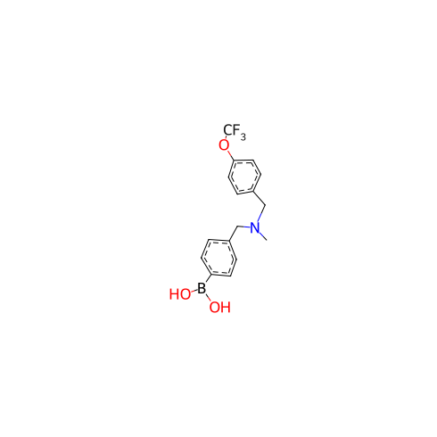 CN(Cc1ccc(OC(F)(F)F)cc1)Cc1ccc(B(O)O)cc1